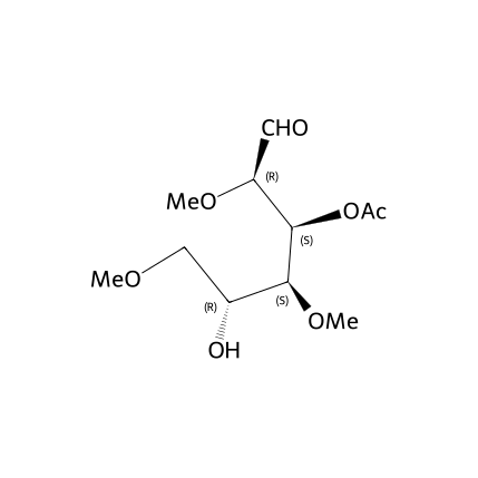 COC[C@@H](O)[C@H](OC)[C@H](OC(C)=O)[C@H](C=O)OC